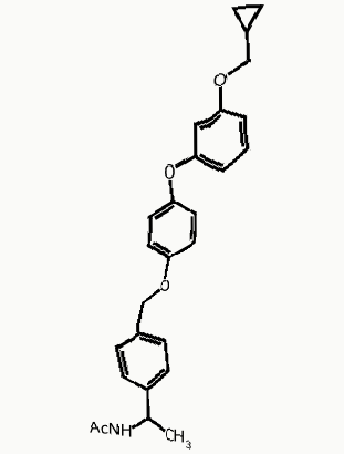 CC(=O)NC(C)c1ccc(COc2ccc(Oc3cccc(OCC4CC4)c3)cc2)cc1